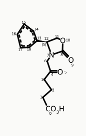 O=C(O)CCCC(=O)CN1C(=O)OC[C@@H]1c1ccccc1